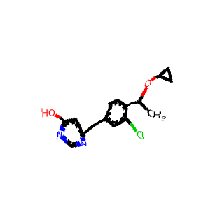 CC(OC1CC1)c1ccc(-c2cc(O)ncn2)cc1Cl